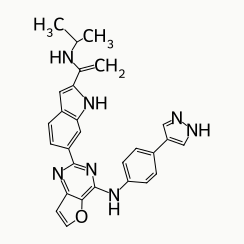 C=C(NC(C)C)c1cc2ccc(-c3nc(Nc4ccc(-c5cn[nH]c5)cc4)c4occc4n3)cc2[nH]1